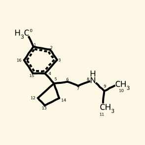 Cc1ccc(C2(CCNC(C)C)CCC2)cc1